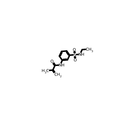 C=C(C)C(=O)Nc1cccc(S(=O)(=O)NCC)c1